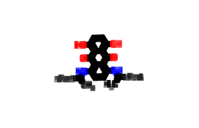 CCCCCC(C)Nc1ccc(NC(C)CCCCC)c2c1C(=O)c1c(O)ccc(O)c1C2=O